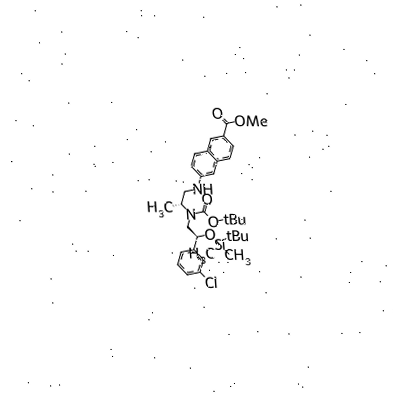 COC(=O)c1ccc2cc(NC[C@@H](C)N(C[C@@H](O[Si](C)(C)C(C)(C)C)c3cccc(Cl)c3)C(=O)OC(C)(C)C)ccc2c1